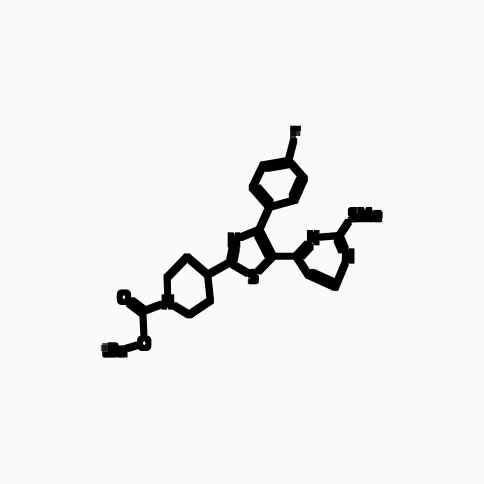 CSc1nccc(-c2sc(C3CCN(C(=O)OC(C)(C)C)CC3)nc2-c2ccc(F)cc2)n1